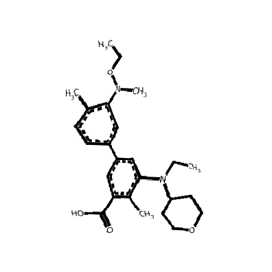 CCON(C)c1cc(-c2cc(C(=O)O)c(C)c(N(CC)C3CCOCC3)c2)ccc1C